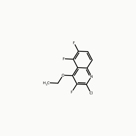 CCOc1c(F)c(Cl)nc2ccc(F)c(F)c12